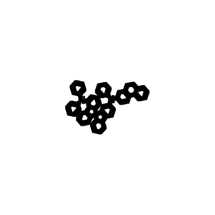 C1=CC2C3C(N(c4ccccc4)c4ccccc4)=CC=CC3C3(c4cc(N(C5=CCCC=C5)C5C=CC6=C(CCc7ccccc76)C5)ccc4C4CCC=CC43)C2C=C1